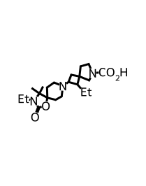 CCC1C(N2CCC3(CC2)OC(=O)N(CC)C3(C)C)CC12CCN(C(=O)O)C2